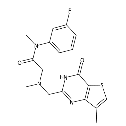 Cc1csc2c(=O)[nH]c(CN(C)CC(=O)N(C)c3cccc(F)c3)nc12